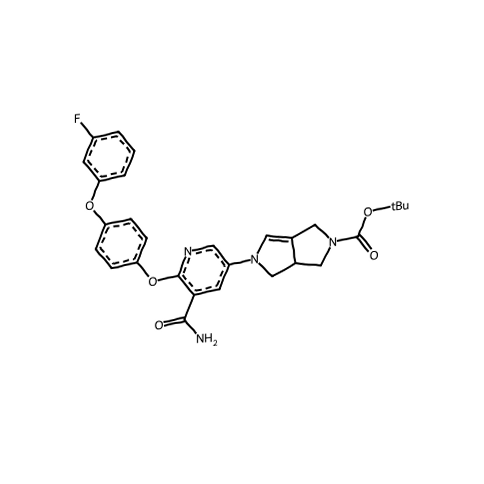 CC(C)(C)OC(=O)N1CC2=CN(c3cnc(Oc4ccc(Oc5cccc(F)c5)cc4)c(C(N)=O)c3)CC2C1